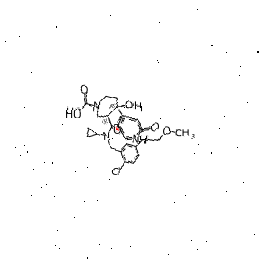 COCCc1ccc(Cl)c(CN(C(=O)[C@H]2CN(C(=O)O)CC[C@]2(O)c2cc[nH]c(=O)c2)C2CC2)c1